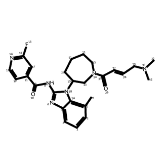 Cc1cccc2nc(NC(=O)c3ccnc(F)c3)n(C3CCCCN(C(=O)C=CCN(C)C)C3)c12